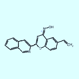 C=Cc1ccc2oc(-c3cc4ccccc4cn3)c/c(=N/O)c2c1